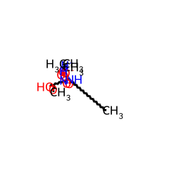 CCCCCCCCCCCCCCCCCCCCCC(=O)N[C@@H](COP(=O)([O-])OCC[N+](C)(C)C)C(=O)NCCCCC(CO)COC